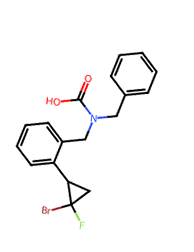 O=C(O)N(Cc1ccccc1)Cc1ccccc1C1CC1(F)Br